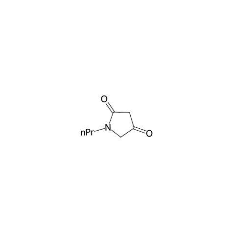 CCCN1CC(=O)CC1=O